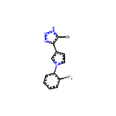 N#Cc1[nH]nnc1-c1ccn(-c2ccccc2C(F)(F)F)c1